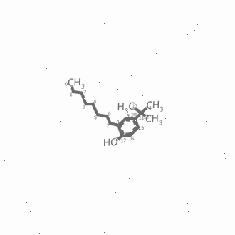 CCCCCCCCc1cc(C(C)(C)C)ccc1O